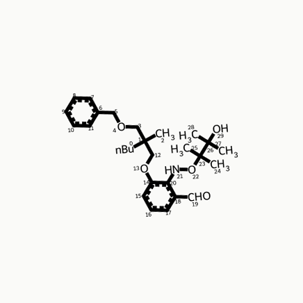 CCCCC(C)(COCc1ccccc1)COc1cccc(C=O)c1NOC(C)(C)C(C)(C)O